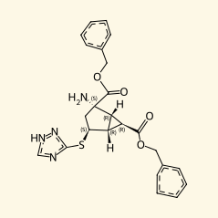 N[C@@]1(C(=O)OCc2ccccc2)C[C@H](Sc2nc[nH]n2)[C@H]2[C@H](C(=O)OCc3ccccc3)[C@H]21